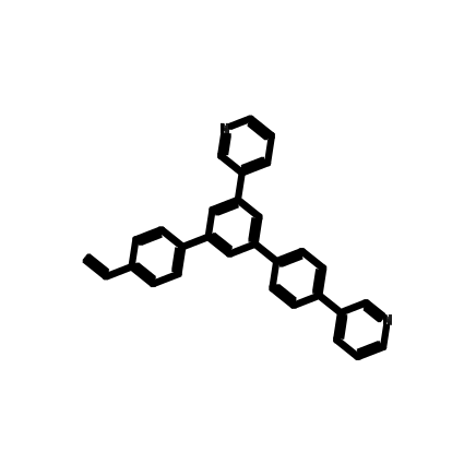 C=Cc1ccc(-c2cc(-c3ccc(-c4cccnc4)cc3)cc(-c3cccnc3)c2)cc1